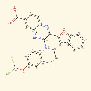 O=C(O)c1ccc2nc(-c3cc4ccccc4o3)c(N3CCCc4cc(OC(F)F)ccc43)nc2c1